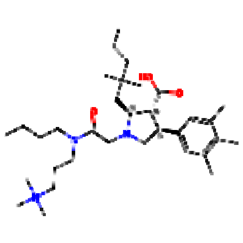 CCCCN(CCC[N+](C)(C)C)C(=O)CN1C[C@H](c2cc(C)c(C)c(C)c2)[C@@H](C(=O)O)[C@@H]1CC(C)(C)CCC